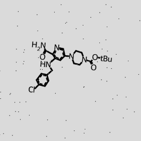 CC(C)(C)OC(=O)N1CCN(c2cnc(C(N)=O)c(NCc3ccc(Cl)cc3)c2)CC1